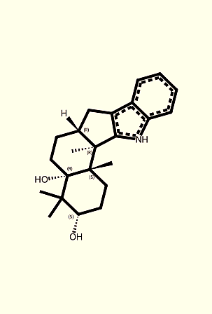 CC1(C)[C@@H](O)CC[C@@]2(C)[C@]3(C)c4[nH]c5ccccc5c4C[C@H]3CC[C@]12O